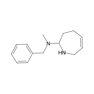 CN(Cc1ccccc1)C1CCC=CCN1